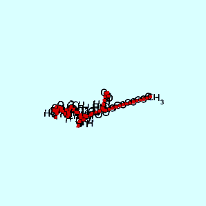 COCCOCCOCCOCCOCCOCCOCCOCCNC(=O)[C@H](CCC(=O)NCC(=O)NCC(=O)N[C@@H](Cc1ccccc1)C(=O)NCC(=O)NCO[C@H](C)C(=O)NCc1c2c(nc3cc(F)c(C)cc13)-c1cc3c(c(=O)n1C2)COC(=O)[C@]3(O)CC1CC1)NC(=O)CCCCCN1C(=O)C=CC1=O